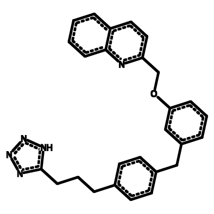 c1cc(Cc2ccc(CCCc3nnn[nH]3)cc2)cc(OCc2ccc3ccccc3n2)c1